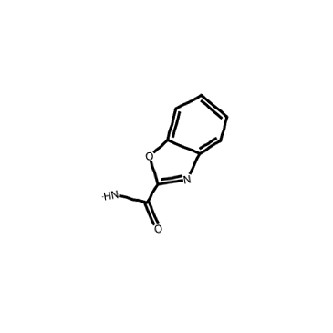 [NH]C(=O)c1nc2ccccc2o1